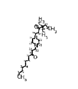 CCCCCCCCC(=O)CCN1CCN(CCC(=O)C(C)(C)CC)CC1